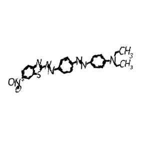 CCN(CC)c1ccc(N=Nc2ccc(N=Nc3nc4ccc([N+](=O)[O-])cc4s3)cc2)cc1